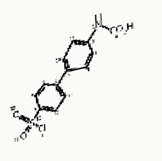 O=C(O)Nc1ccc(-c2ccc(S(=O)(=O)Cl)cc2)cc1